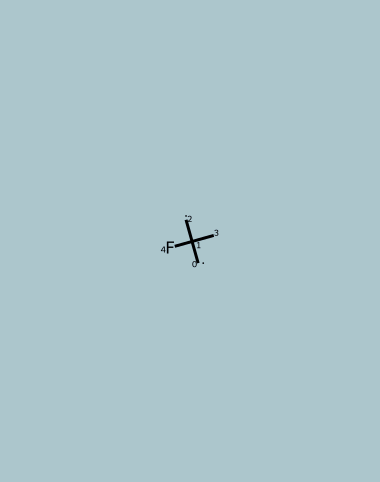 [CH2]C([CH2])(C)F